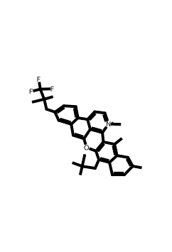 Cc1ccc2c(CC(C)(C)C)c3c(c(C)c2c1)-c1c2c(cc4cc(CC(C)(C)C(F)(F)F)ccc4c2cc[n+]1C)O3